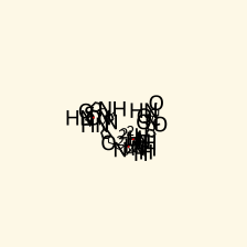 [2H]C1([2H])N(CC2CCN(CCOc3ccc(Nc4ncc(C)c(Nc5cccc(S(=O)(=O)NC(C)(C)C)c5)n4)cc3)CC2)C([2H])([2H])C([2H])([2H])N(c2ccc3c(c2)C(=O)N(C2CCC(=O)NC2=O)C3=O)C1([2H])[2H]